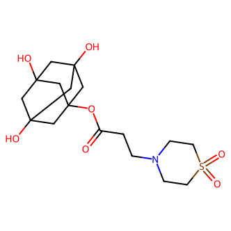 O=C(CCN1CCS(=O)(=O)CC1)OC12CC3(O)CC(O)(CC(O)(C3)C1)C2